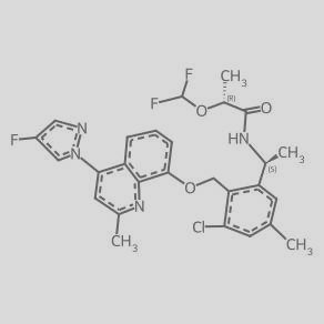 Cc1cc(Cl)c(COc2cccc3c(-n4cc(F)cn4)cc(C)nc23)c([C@H](C)NC(=O)[C@@H](C)OC(F)F)c1